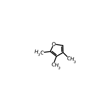 Cc1coc(C)c1C